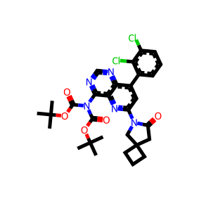 CC(C)(C)OC(=O)N(C(=O)OC(C)(C)C)c1ncnc2c(-c3cccc(Cl)c3Cl)cc(N3CC4(CCC4)CC3=O)nc12